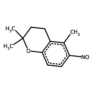 Cc1c(N=O)ccc2c1CCC(C)(C)O2